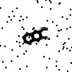 CC(C)(C)c1cc2cccnc2cc1F